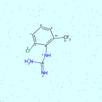 N=C(N)Nc1c(Cl)cccc1C(F)(F)F